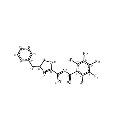 CC(C)/C(=N\C(=O)c1c(F)c(F)c(F)c(F)c1F)C1=N[C@@H](Cc2ccccc2)CO1